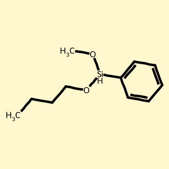 CCCCO[SiH](OC)c1ccccc1